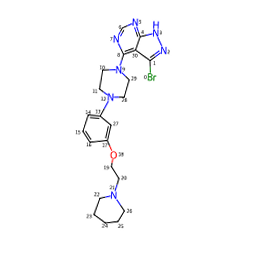 Brc1n[nH]c2ncnc(N3CCN(c4cccc(OCCN5CCCCC5)c4)CC3)c12